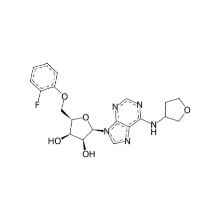 O[C@@H]1[C@H](O)[C@H](n2cnc3c(NC4CCOC4)ncnc32)O[C@@H]1COc1ccccc1F